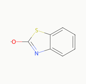 [O]c1nc2ccccc2s1